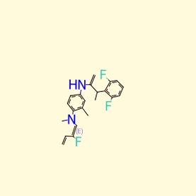 C=C/C(F)=C\N(C)c1ccc(NC(=C)C(C)c2c(F)cccc2F)cc1C